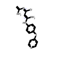 C=C(N)/N=C(\C=C(/N)Nc1ccc(Sc2ccncc2)cc1)CC